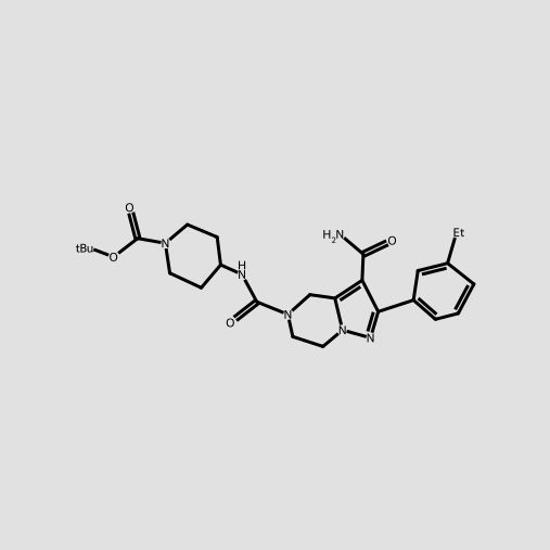 CCc1cccc(-c2nn3c(c2C(N)=O)CN(C(=O)NC2CCN(C(=O)OC(C)(C)C)CC2)CC3)c1